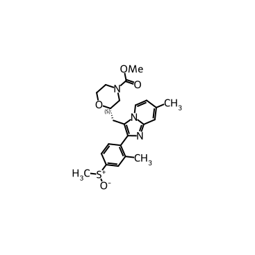 COC(=O)N1CCO[C@@H](Cc2c(-c3ccc([S+](C)[O-])cc3C)nc3cc(C)ccn23)C1